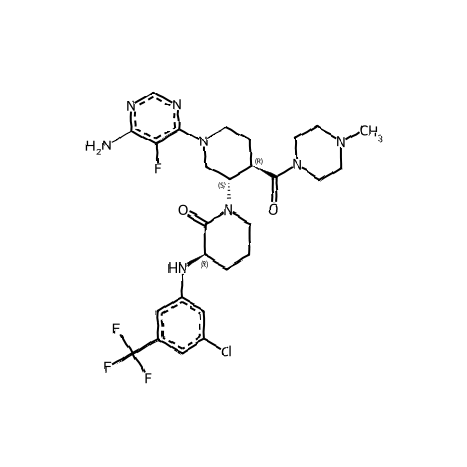 CN1CCN(C(=O)[C@@H]2CCN(c3ncnc(N)c3F)C[C@H]2N2CCC[C@@H](Nc3cc(Cl)cc(C(F)(F)F)c3)C2=O)CC1